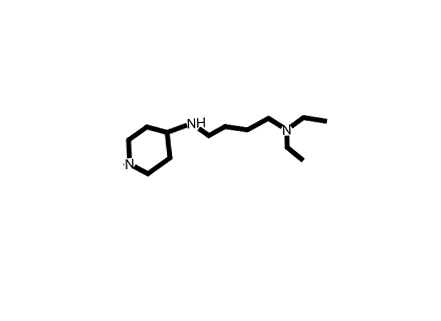 CCN(CC)CCCCNC1CC[N]CC1